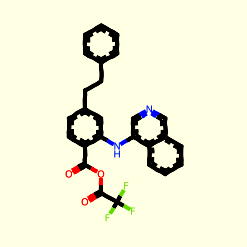 O=C(OC(=O)C(F)(F)F)c1ccc(CCc2ccccc2)cc1Nc1cncc2ccccc12